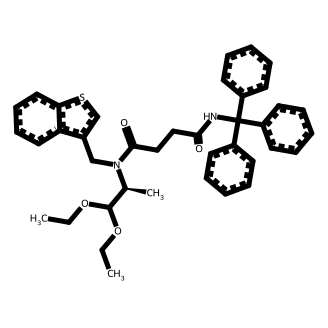 CCOC(OCC)[C@H](C)N(Cc1csc2ccccc12)C(=O)CCC(=O)NC(c1ccccc1)(c1ccccc1)c1ccccc1